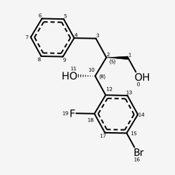 OC[C@H](Cc1ccccc1)[C@@H](O)c1ccc(Br)cc1F